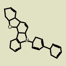 C1=CCC(C2=CCC(N3C4=C(CCC=C4)C4C5OC6CCC=CC6C5C=CC43)C=C2)C=C1